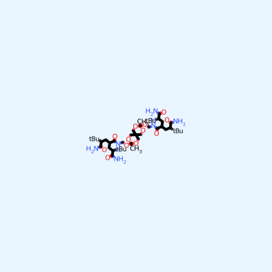 CC1(OCNC(=O)C(CC(C(N)=O)C(C)(C)C)CC(C(N)=O)C(C)(C)C)OCC2(CO1)COC(C)(OCNC(=O)C(CC(C(N)=O)C(C)(C)C)CC(C(N)=O)C(C)(C)C)OC2